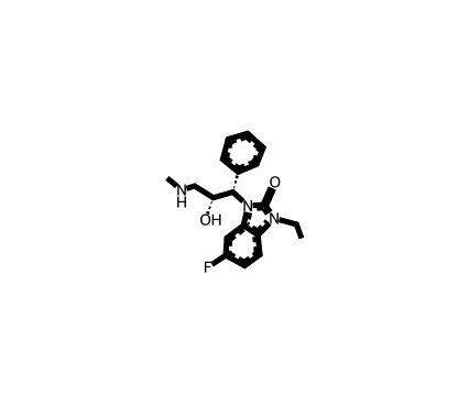 CCn1c(=O)n([C@@H](c2ccccc2)[C@H](O)CNC)c2cc(F)ccc21